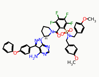 COc1ccc(CN(Cc2ccc(OC)cc2)S(=O)(=O)c2c(F)c(F)c(F)c(F)c2C(=O)N2CCC[C@@H](n3nc(-c4ccc(Oc5ccccc5)cc4)c4c(N)ncnc43)C2)cc1